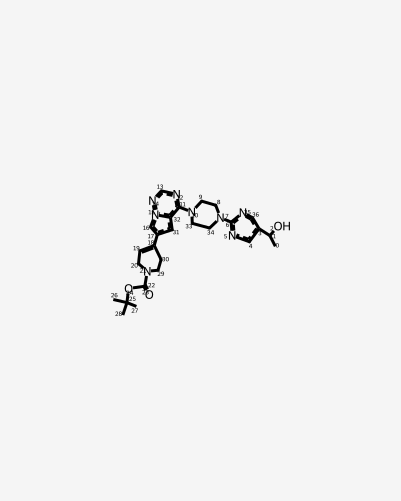 CC(O)c1cnc(N2CCN(c3ncnn4cc(C5=CCN(C(=O)OC(C)(C)C)CC5)cc34)CC2)nc1